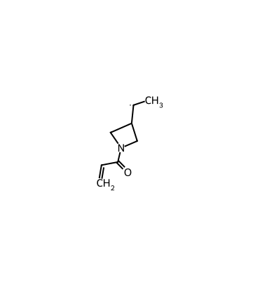 C=CC(=O)N1CC([CH]C)C1